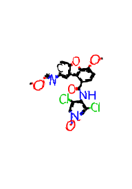 CO/C=N/c1ccc2oc3c(OC)ccc(C(=O)Nc4c(Cl)c[n+]([O-])cc4Cl)c3c2c1